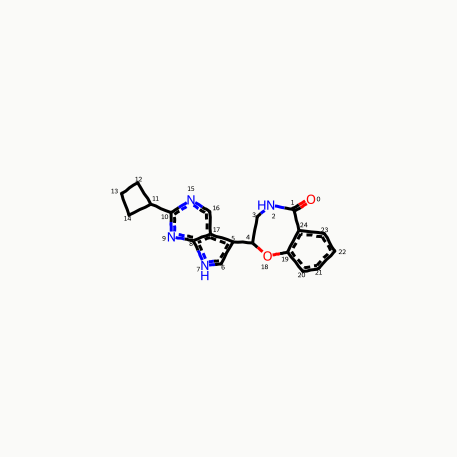 O=C1NCC(c2c[nH]c3nc(C4CCC4)ncc23)Oc2ccccc21